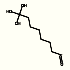 O=[C]CCCCCCC(O)(O)O